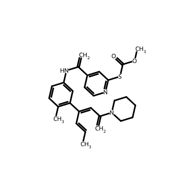 C=C(Nc1ccc(C)c(C(/C=C/C)=C/C(=C)N2CCCCC2)c1)c1ccnc(SC(=O)OC)c1